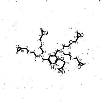 Cc1cc(CN(CCOCC2CO2)CCOCC2CO2)cc(CN(CCOCC2CO2)CCOCC2CO2)c1OCC1CO1